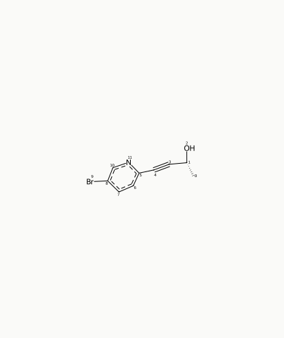 C[C@@H](O)C#Cc1ccc(Br)cn1